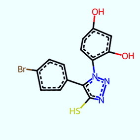 Oc1ccc(-n2nnc(S)c2-c2ccc(Br)cc2)c(O)c1